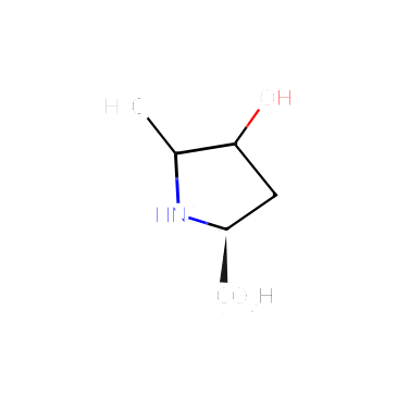 CC1N[C@H](C(=O)O)CC1O